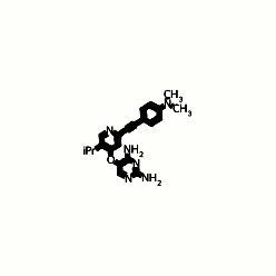 CC(C)c1cnc(C#Cc2ccc(N(C)C)cc2)cc1Oc1cnc(N)nc1N